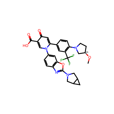 CO[C@@H]1CCN(c2ccc(-c3cc(=O)c(C(=O)O)cn3-c3ccc4nc(N5CC6CC6C5)oc4c3)cc2C(F)(F)F)C1